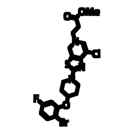 COC(=O)CCN1C=C(Cl)c2nc(N3CCC(Oc4cc(F)ccc4Br)CC3)sc2C1